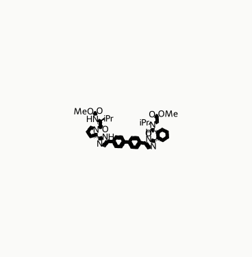 COC(=O)CN(C(=O)[C@@H]1CCCC[C@@H]1c1ncc(-c2ccc(-c3ccc(-c4cnc([C@@H]5CCCN5C(=O)[C@@H](NC(=O)OC)C(C)C)[nH]4)cc3)cc2)[nH]1)C(C)C